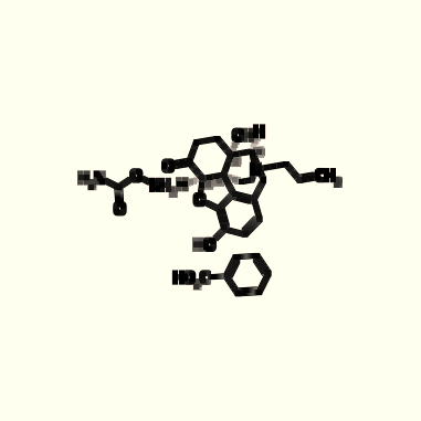 C=CCN1CC[C@]23c4c5ccc(O)c4O[C@H]2C(=O)CC[C@@]3(O)[C@H]1C5.NOC(N)=O.O=C(O)c1ccccc1